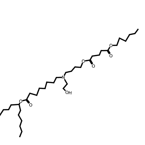 CCCCCCOC(=O)CCCC(=O)OCCCCN(CCO)CCCCCCCC(=O)OC(CCCCC)CCCCCC